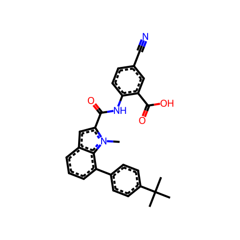 Cn1c(C(=O)Nc2ccc(C#N)cc2C(=O)O)cc2cccc(-c3ccc(C(C)(C)C)cc3)c21